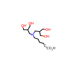 O=C(O)CCCCCN(CC(CO)CO)CC(CO)CO